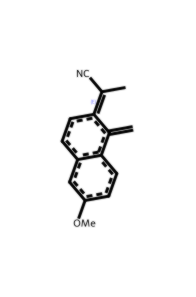 C=c1/c(=C(\C)C#N)ccc2cc(OC)ccc12